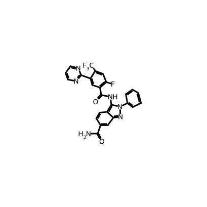 NC(=O)c1ccc2c(NC(=O)c3cc(-c4ncccn4)c(C(F)(F)F)cc3F)n(-c3ccccc3)nc2c1